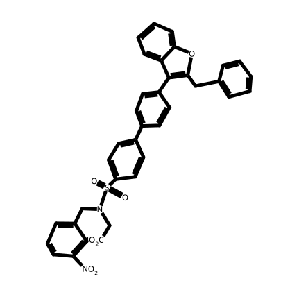 O=C(O)CN(Cc1cccc([N+](=O)[O-])c1)S(=O)(=O)c1ccc(-c2ccc(-c3c(Cc4ccccc4)oc4ccccc34)cc2)cc1